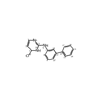 ClC1C=CN=C(Nc2cccc(-c3ccccc3)c2)N1